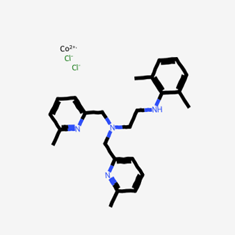 Cc1cccc(CN(CCNc2c(C)cccc2C)Cc2cccc(C)n2)n1.[Cl-].[Cl-].[Co+2]